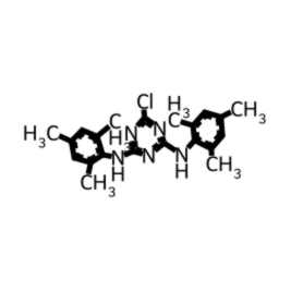 Cc1cc(C)c(Nc2nc(Cl)nc(Nc3c(C)cc(C)cc3C)n2)c(C)c1